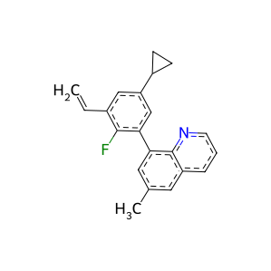 C=Cc1cc(C2CC2)cc(-c2cc(C)cc3cccnc23)c1F